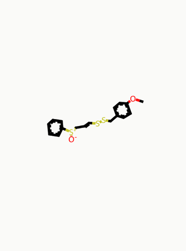 COc1ccc(CSS/C=C/C[S+]([O-])c2ccccc2)cc1